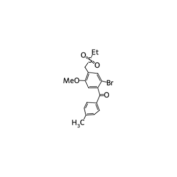 CCS(=O)(=O)Cc1cc(Br)c(C(=O)c2ccc(C)cc2)cc1OC